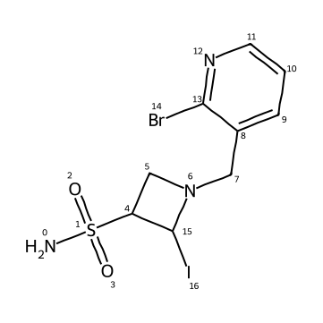 NS(=O)(=O)C1CN(Cc2cccnc2Br)C1I